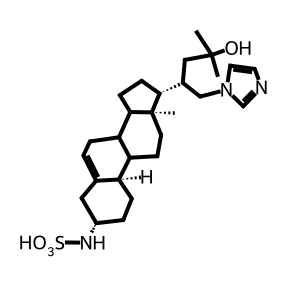 CC(C)(O)CC(Cn1ccnc1)[C@H]1CCC2C3CC=C4C[C@@H](NS(=O)(=O)O)CC[C@@H]4C3CC[C@@]21C